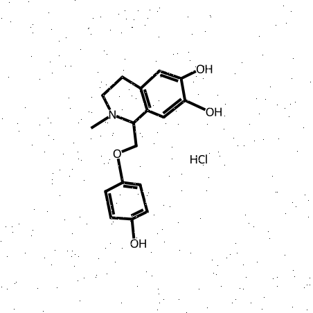 CN1CCc2cc(O)c(O)cc2C1COc1ccc(O)cc1.Cl